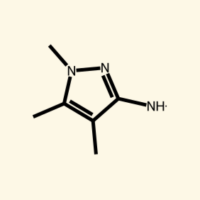 Cc1c([NH])nn(C)c1C